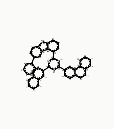 c1ccc(-c2ccc3oc4cccc(-c5nc(-c6ccc7ccccc7c6)nc(-c6ccc7ccc8ccccc8c7c6)n5)c4c3c2)cc1